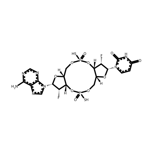 Nc1ncnc2c1ncn2[C@@H]1O[C@@H]2COP(=O)(S)O[C@@H]3[C@H](F)[C@H](n4ccc(=O)[nH]c4=O)O[C@@H]3COP(=O)(S)O[C@@H]2[C@@H]1F